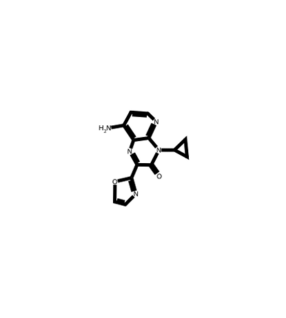 Nc1ccnc2c1nc(-c1ncco1)c(=O)n2C1CC1